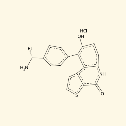 CC[C@@H](N)c1ccc(-c2c(O)ccc3[nH]c(=O)c4sccc4c23)cc1.Cl